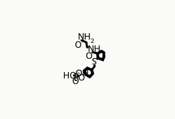 NC(=O)CCNC(=O)c1ccccc1SCc1ccc(OP(=O)(O)O)cc1